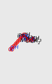 C=Nc1cc(OCCCOc2cc3c(cc2OC)C(=O)N2C=C(c4ccc(NC(=O)[C@H](C)NC(=O)[C@@H](NC(=O)CCOCCOCCOCCOCCOCCOCCOCCOCCNC(=O)CCN5C(=O)C=CC5=O)C(C)C)cc4)C[C@H]2C=N3)c(OC)cc1C(=O)N1C=C(C2CC2)C[C@H]1C